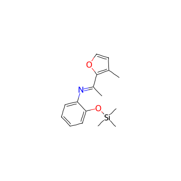 CC(=Nc1ccccc1O[Si](C)(C)C)c1occc1C